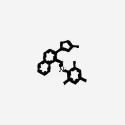 CC1=CCC(c2ccc3ccccc3c2C=Nc2c(C)cc(C)cc2C)=C1